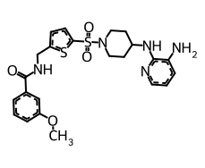 COc1cccc(C(=O)NCc2ccc(S(=O)(=O)N3CCC(Nc4ncccc4N)CC3)s2)c1